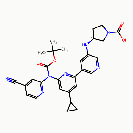 CC(C)(C)OC(=O)N(c1cc(C#N)ccn1)c1cc(C2CC2)cc(-c2cncc(N[C@H]3CCN(C(=O)O)C3)c2)n1